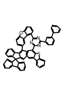 c1ccc(-c2cccc(-c3nc(-c4cccc5c4sc4ccccc45)nc(-c4cccc5oc6ccc(-c7cccc8c7-c7ccccc7C87c8ccccc8-c8ccccc87)cc6c45)n3)c2)cc1